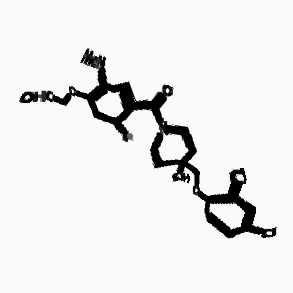 CNc1cc(C(=O)N2CCC(O)(COc3ccc(Cl)cc3Cl)CC2)c(F)cc1OCC=O